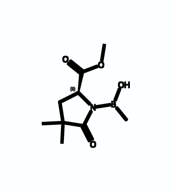 COC(=O)[C@@H]1CC(C)(C)C(=O)N1B(C)O